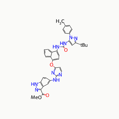 COC(=O)c1n[nH]c2ccc(Nc3nccc(Oc4ccc(NC(=O)Nc5cc(C(C)(C)C)nn5-c5ccc(C)cc5)c5ccccc45)n3)cc12